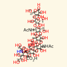 CC(=O)N[C@H]1[C@H](O[C@H]2[C@@H](O)[C@@H](CO)O[C@@H](O[C@H]3[C@H](O)[C@@H](O)[C@H](O)O[C@@H]3CO)[C@@H]2O)O[C@H](CO)[C@@H](O[C@@H]2O[C@H](CO)[C@H](O)[C@H](O[C@@H]3O[C@H](CO)[C@@H](O[C@@H]4O[C@H](CO)[C@H](O)[C@H](O[C@]5(C(=O)O)C[C@H](O)[C@@H](NC(=O)CO)[C@H]([C@H](O)[C@H](O)CO)O5)[C@H]4O)[C@H](O)[C@H]3NC(C)=O)[C@H]2O)[C@@H]1O